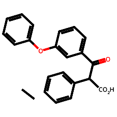 CC.O=C(O)C(C(=O)c1cccc(Oc2ccccc2)c1)c1ccccc1